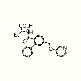 CC[C@H](NC(=O)c1ccc(COc2cccnc2)cc1-c1ccccc1)C(=O)O